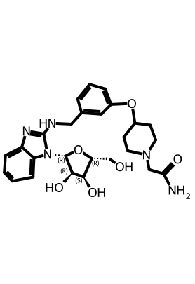 NC(=O)CN1CCC(Oc2cccc(CNc3nc4ccccc4n3[C@@H]3O[C@H](CO)[C@@H](O)[C@H]3O)c2)CC1